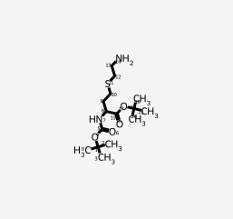 CC(C)(C)OC(=O)NC(CCSCCN)C(=O)OC(C)(C)C